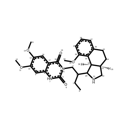 CCC(Cn1c(=O)[nH]c2cc(OC)c(OC)cc2c1=O)C1NC[C@@H]2CCc3cccc(OC)c3[C@H]12